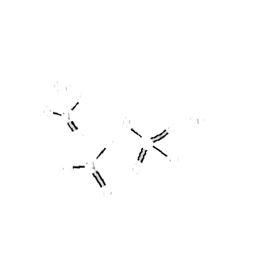 O=S(=O)([O-])[O-].O=[N+]([O-])[O-].O=[N+]([O-])[O-].[Ca+2].[Sr+2]